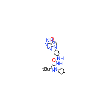 Cc1ccc(-n2nc(C(C)(C)C)cc2NC(=O)Nc2ccc(-n3ccc(=O)c4c(N)ncnc43)cc2)cc1